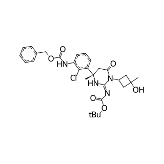 CC1(O)CC(N2C(=O)C[C@@](C)(c3cccc(NC(=O)OCc4ccccc4)c3Cl)NC2=NC(=O)OC(C)(C)C)C1